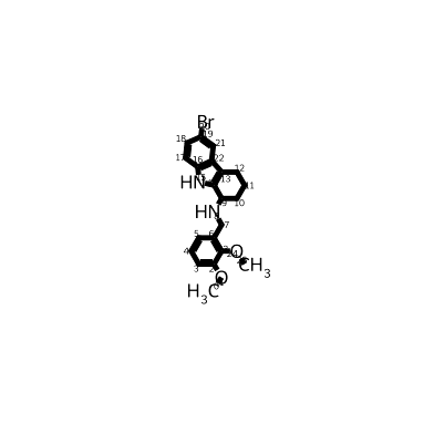 COc1cccc(CNC2CCCc3c2[nH]c2ccc(Br)cc32)c1OC